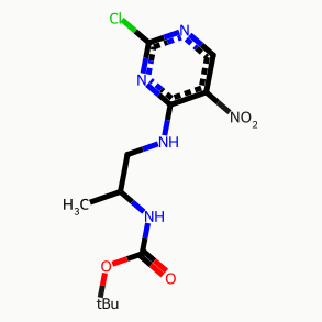 CC(CNc1nc(Cl)ncc1[N+](=O)[O-])NC(=O)OC(C)(C)C